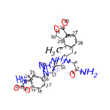 Cc1c(CCN(CC(N)=O)C/C(N)=C/N(N)c2ccc3oc(=O)[nH]c3c2)ccc2c1COC2=O